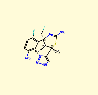 C[C@H]1[C@@](CF)(c2cc(N)ccc2F)N=C(N)S[C@]1(C)c1c[nH]nn1